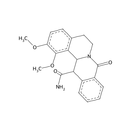 COc1ccc2c(c1OC)C1C(C(N)=O)c3ccccc3C(=O)N1CC2